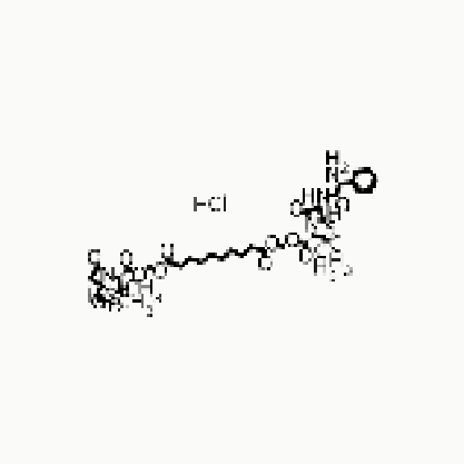 CC1(C)S[C@@H]2[C@H](NC(=O)C(N)c3ccccc3)C(=O)N2[C@H]1C(=O)OCOC(=O)CCCCCCCCC(=O)OCOC(=O)[C@@H]1N2C(=O)C[C@H]2S(=O)(=O)C1(C)C.Cl